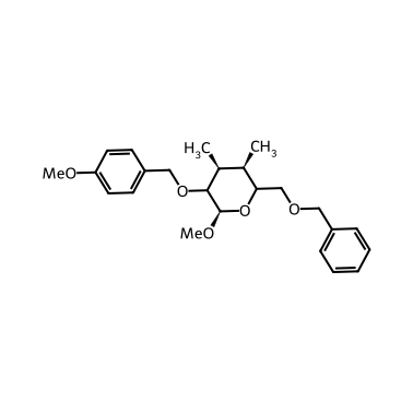 COc1ccc(COC2[C@H](OC)OC(COCc3ccccc3)[C@H](C)[C@@H]2C)cc1